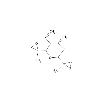 C=CCC(OC(CC=C)C1(C)CO1)C1(C)CO1